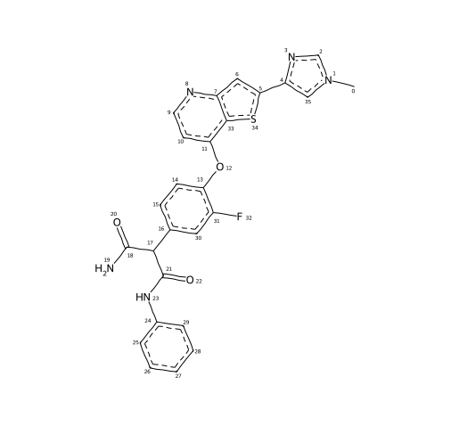 Cn1cnc(-c2cc3nccc(Oc4ccc(C(C(N)=O)C(=O)Nc5ccccc5)cc4F)c3s2)c1